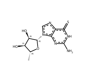 C[C@H]1O[C@@H](n2cnc3c(=S)[nH]c(N)nc32)[C@H](O)[C@@H]1O